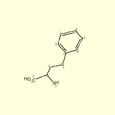 O=C(O)C(S)COc1ccccc1